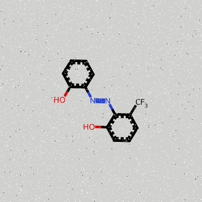 Oc1ccccc1N=Nc1c(O)cccc1C(F)(F)F